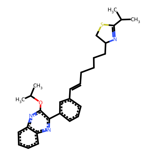 CC(C)Oc1nc2ccccc2nc1-c1cccc(/C=C/CCCCC2CSC(C(C)C)=N2)c1